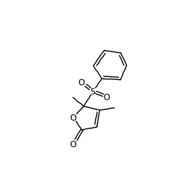 CC1=CC(=O)OC1(C)S(=O)(=O)c1ccccc1